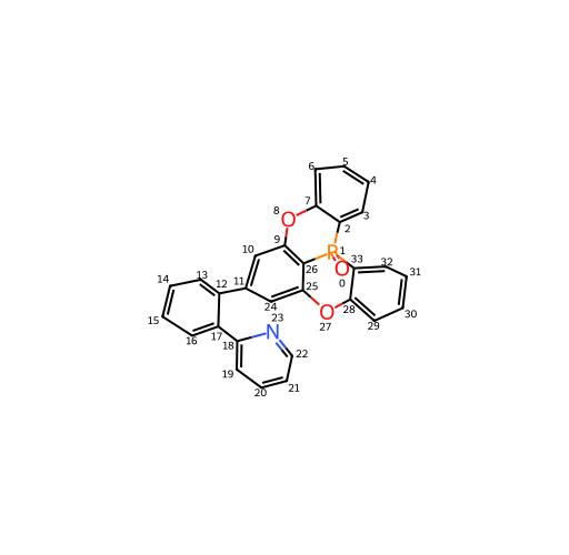 O=P12c3ccccc3Oc3cc(-c4ccccc4-c4ccccn4)cc(c31)Oc1ccccc12